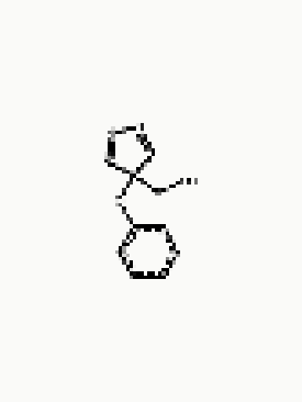 OCC1(Oc2ccccc2)C=NN=N1